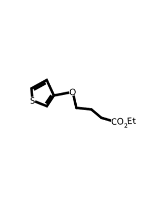 CCOC(=O)CCCOc1ccsc1